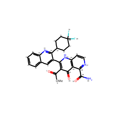 COC(=O)c1c(-c2cc3ccccc3nc2C2CCC(F)(F)CC2)[nH]c2ccnc(C(N)=O)c2c1=O